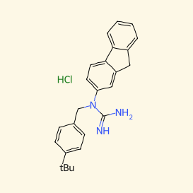 CC(C)(C)c1ccc(CN(C(=N)N)c2ccc3c(c2)Cc2ccccc2-3)cc1.Cl